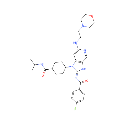 CC(C)NC(=O)[C@H]1CC[C@@H](n2/c(=N/C(=O)c3ccc(F)cc3)[nH]c3cnc(NCCN4CCOCC4)cc32)CC1